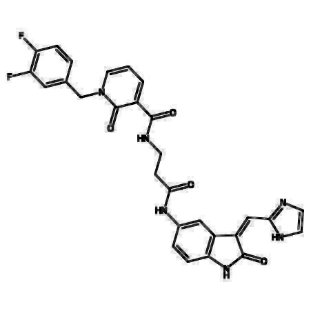 O=C(CCNC(=O)c1cccn(Cc2ccc(F)c(F)c2)c1=O)Nc1ccc2c(c1)/C(=C/c1ncc[nH]1)C(=O)N2